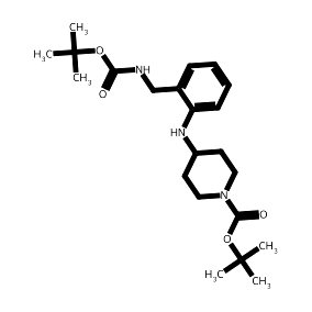 CC(C)(C)OC(=O)NCc1ccccc1NC1CCN(C(=O)OC(C)(C)C)CC1